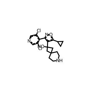 OC1(c2c(-c3c(Cl)cncc3Cl)noc2C2CC2)CC2(CCNCC2)C1